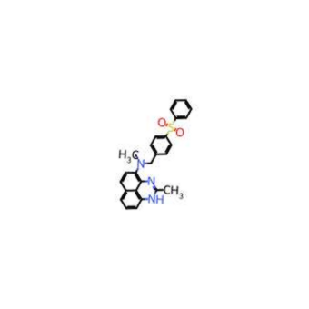 CC1=Nc2c(N(C)Cc3ccc(S(=O)(=O)c4ccccc4)cc3)ccc3cccc(c23)N1